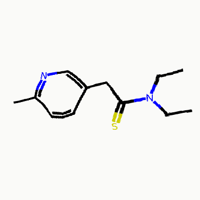 CCN(CC)C(=S)Cc1ccc(C)nc1